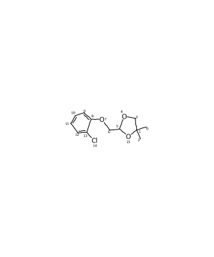 CC1(C)COC(COc2ccccc2Cl)O1